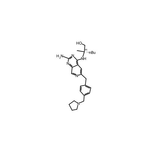 CCCC[C@](C)(CO)Nc1nc(N)nc2cnc(Cc3ccc(CN4CCCC4)cc3)cc12